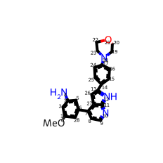 COc1cc(N)cc(-c2ccnc3[nH]c(-c4ccc(N5CCOCC5)cc4)cc23)c1